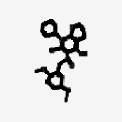 COc1ccc(OC)c(CC(=O)c2c(O)c3cccnc3n(-c3ccccc3)c2=O)c1